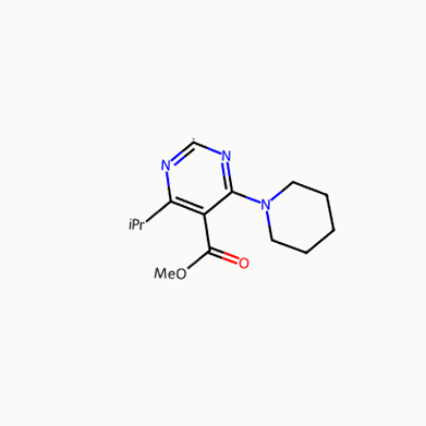 COC(=O)c1c(C(C)C)n[c]nc1N1CCCCC1